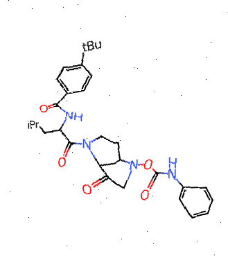 CC(C)CC(NC(=O)c1ccc(C(C)(C)C)cc1)C(=O)N1CCC2C1C(=O)CN2OC(=O)Nc1ccccc1